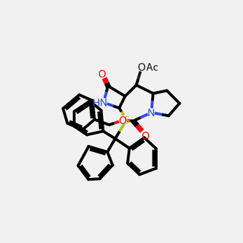 CC(=O)OC(C1C(=O)NC1SC(c1ccccc1)(c1ccccc1)c1ccccc1)C1CCCN1C(=O)OCc1ccccc1